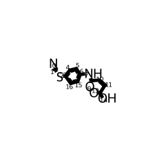 N#CSc1ccc(NC(=O)/C=C\C(=O)O)cc1